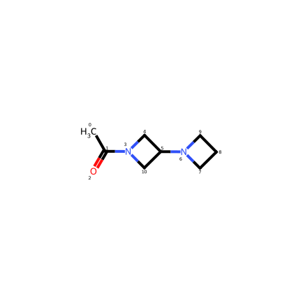 CC(=O)N1CC(N2CCC2)C1